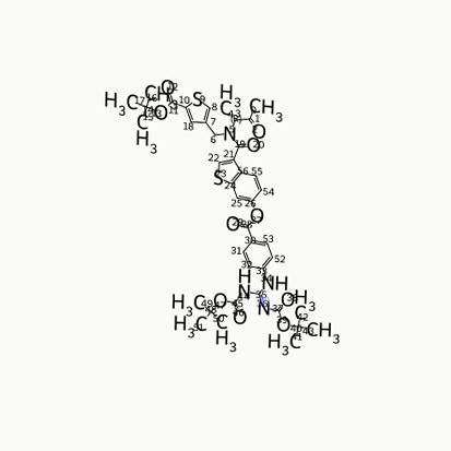 CC(=O)[C@@H](C)N(Cc1csc(C(=O)OC(C)(C)C)c1)C(=O)c1csc2cc(OC(=O)c3ccc(N/C(=N\C(=O)OC(C)(C)C)NC(=O)OC(C)(C)C)cc3)ccc12